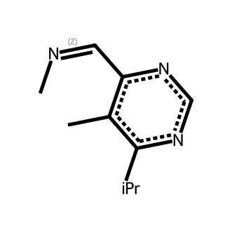 C/N=C\c1ncnc(C(C)C)c1C